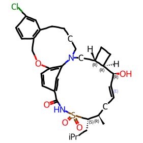 CC(C)C[C@H]1[C@H](C)C/C=C/[C@H](O)[C@@H]2CC[C@H]2CN2CCCCc3cc(Cl)ccc3COc3ccc(cc32)C(=O)NS1(=O)=O